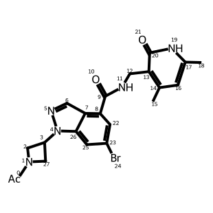 CC(=O)N1CC(n2ncc3c(C(=O)NCc4c(C)cc(C)[nH]c4=O)cc(Br)cc32)C1